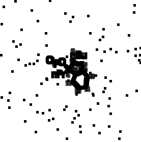 CCCCC(=S)C(CCC)(OP=O)c1ccccc1